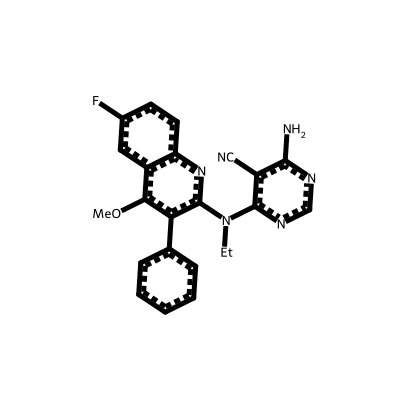 CCN(c1ncnc(N)c1C#N)c1nc2ccc(F)cc2c(OC)c1-c1ccccc1